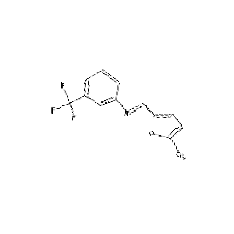 Cc1ccc(/C=N/c2cccc(C(F)(F)F)c2)o1